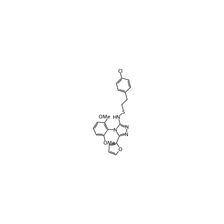 COc1cccc(OC)c1-n1c(NSCCc2ccc(Cl)cc2)nnc1-c1ccco1